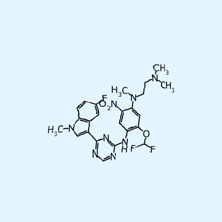 CN(C)CCN(C)c1cc(OC(F)F)c(Nc2ncnc(-c3cn(C)c4ccc(F)cc34)n2)cc1[N+](=O)[O-]